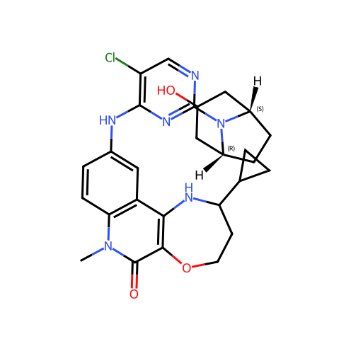 Cn1c(=O)c2c(c3cc(Nc4nc(N5[C@@H]6CC[C@H]5CC(O)C6)ncc4Cl)ccc31)NC(C1CC1)CCO2